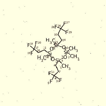 C[Si]1(C)O[Si](C)(CCC(F)(F)F)O[Si](C)(CCC(F)(F)F)O[Si](C)(CCC(F)(F)F)O1